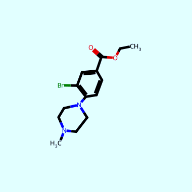 CCOC(=O)c1ccc(N2CCN(C)CC2)c(Br)c1